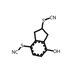 N#CSc1ccc(O)c2c1CC(SC#N)C2